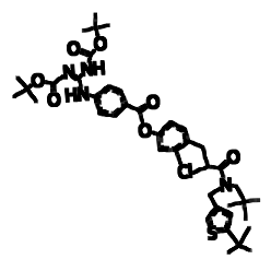 CC(Cc1ccc(OC(=O)c2ccc(N/C(=N\C(=O)OC(C)(C)C)NC(=O)OC(C)(C)C)cc2)cc1Cl)C(=O)N(Cc1csc(C(C)(C)C)c1)CC(C)(C)C